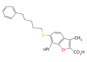 CCCc1c(SCCCCCc2ccccc2)ccc2c(C)c(C(=O)O)oc12